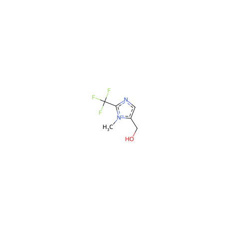 Cn1c(CO)cnc1C(F)(F)F